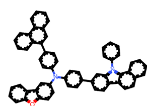 c1ccc(-n2c3cc(-c4ccc(N(c5ccc(-c6cc7ccccc7c7ccccc67)cc5)c5ccc6oc7ccccc7c6c5)cc4)ccc3c3ccc4ccccc4c32)cc1